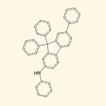 c1ccc(Nc2ccc3c(c2)C(c2ccccc2)(c2ccccc2)c2cc(-c4ccccc4)ccc2-3)cc1